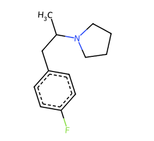 CC(Cc1ccc(F)cc1)N1CCCC1